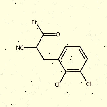 CCC(=O)C(C#N)Cc1cccc(Cl)c1Cl